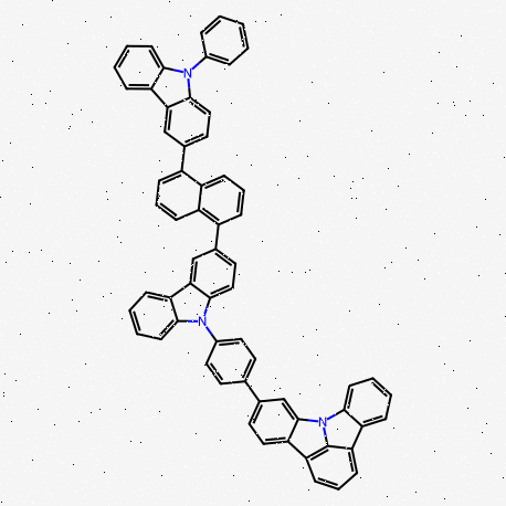 c1ccc(-n2c3ccccc3c3cc(-c4cccc5c(-c6ccc7c(c6)c6ccccc6n7-c6ccc(-c7ccc8c9cccc%10c%11ccccc%11n(c8c7)c%109)cc6)cccc45)ccc32)cc1